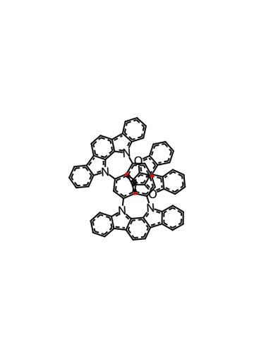 c1cc(-n2c3ccccc3c3ccc4c5ccccc5n(-c5ccc6oc7ccccc7c6c5)c4c32)cc(-n2c3ccccc3c3ccc4c5ccccc5n(-c5ccc6oc7ccccc7c6c5)c4c32)c1